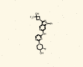 CC(C)n1nc(N2CC(O)(C(F)(F)F)C2)c2cnc(Nc3ccnc(N4CC[C@H](O)[C@H](F)C4)n3)cc21